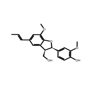 C/C=C/c1cc(OC)c2c(c1)[C@H](CO)[C@H](c1ccc(O)c(OC)c1)O2